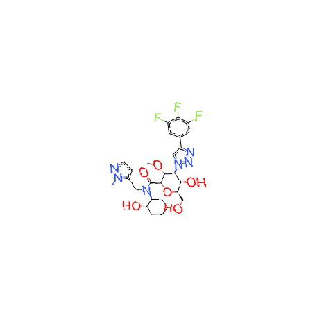 CO[C@@H]1[C@@H](n2cc(-c3cc(F)c(F)c(F)c3)nn2)[C@@H](O)[C@@H](CO)O[C@H]1C(=O)N(Cc1ccnn1C)[C@H]1CCCC[C@@H]1O